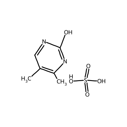 Cc1cnc(O)nc1C.O=S(=O)(O)O